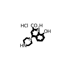 Cl.O=C(O)c1cc(N2CCNCC2)c2cccc(O)c2n1